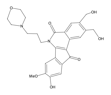 COc1cc2c(cc1O)C(=O)c1c-2n(CCCN2CCOCC2)c(=O)c2cc(CO)c(CO)cc12